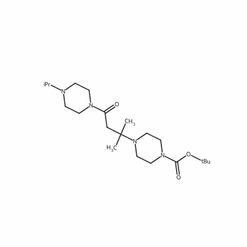 CC(C)N1CCN(C(=O)CC(C)(C)N2CCN(C(=O)OC(C)(C)C)CC2)CC1